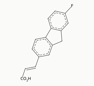 O=C(O)C=Cc1ccc2c(c1)Cc1cc(F)ccc1-2